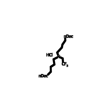 CCCCCCCCCCCCCCN(CCCCCCCCCCCCCC)CC(F)(F)F.Cl